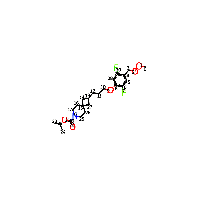 COOCc1cc(F)c(OCCCC2CC3(CCN(C(=O)OC(C)C)CC3)C2)cc1F